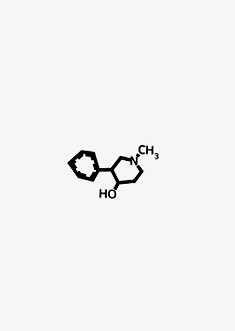 CN1CCC(O)C(c2ccccc2)C1